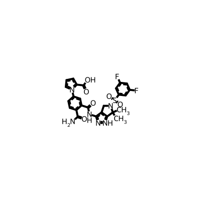 CC1(C)c2[nH]nc(NC(=O)c3cc(-n4cccc4C(=O)O)ccc3C(N)=O)c2CN1S(=O)(=O)c1cc(F)cc(F)c1